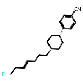 N#Cc1ccc([C@H]2CC[C@H](CCCC=CCCF)CC2)cc1